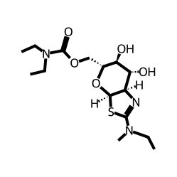 CCN(C)C1=N[C@@H]2[C@@H](O)[C@H](O)[C@@H](COC(=O)N(CC)CC)O[C@@H]2S1